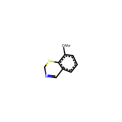 COc1cccc2c1SCN=C2